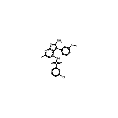 COc1cccc(-c2c(N)sc3nc(C)cc(NS(=O)(=O)c4cccc(Cl)c4)c23)c1